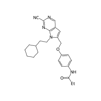 CCC(=O)Nc1ccc(OCc2cc3cnc(C#N)nc3n2CCC2CCCCC2)cc1